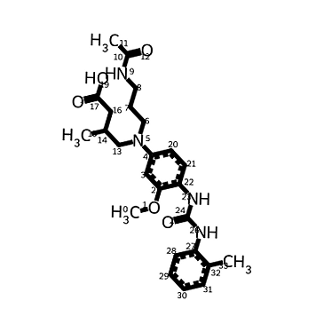 COc1cc(N(CCCNC(C)=O)CC(C)CC(=O)O)ccc1NC(=O)Nc1ccccc1C